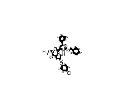 COC(=O)[C@@H]1C[C@@H](COc2ccc(Cl)cc2)CN1C(=O)[C@@H](CCc1ccccc1)NC(=O)OCc1ccccc1